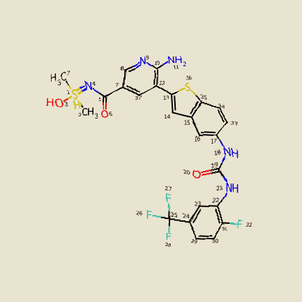 C[SH](C)(O)=NC(=O)c1cnc(N)c(-c2cc3cc(NC(=O)Nc4cc(C(F)(F)F)ccc4F)ccc3s2)c1